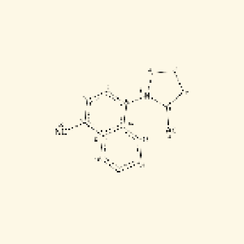 CC(=O)C1CCCN1c1ccc(C#N)c2ccccc12